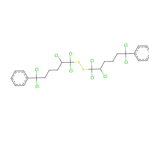 ClC(CCCC(Cl)(Cl)c1ccccc1)C(Cl)(Cl)SSC(Cl)(Cl)C(Cl)CCCC(Cl)(Cl)c1ccccc1